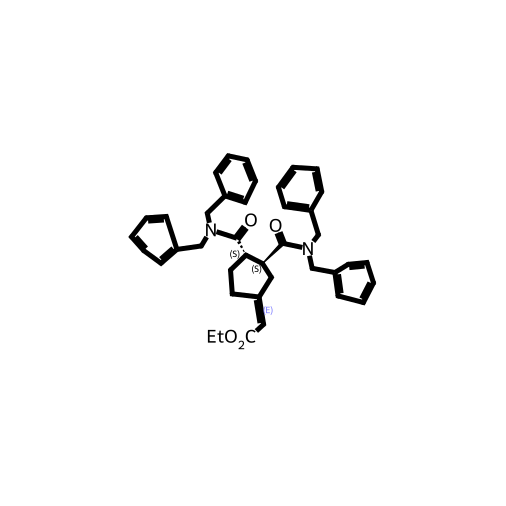 CCOC(=O)/C=C1\CC[C@H](C(=O)N(Cc2ccccc2)Cc2ccccc2)[C@@H](C(=O)N(Cc2ccccc2)Cc2ccccc2)C1